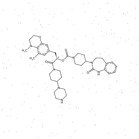 Cc1cc(C[C@@H](OC(=O)N2CCC(N3CCc4ccccc4NC3=O)CC2)C(=O)N2CCC(N3CCNCC3)CC2)cc2c1N(C)CCO2